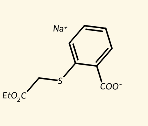 CCOC(=O)CSc1ccccc1C(=O)[O-].[Na+]